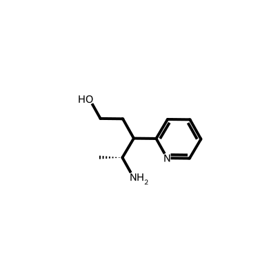 C[C@@H](N)C(CCO)c1ccccn1